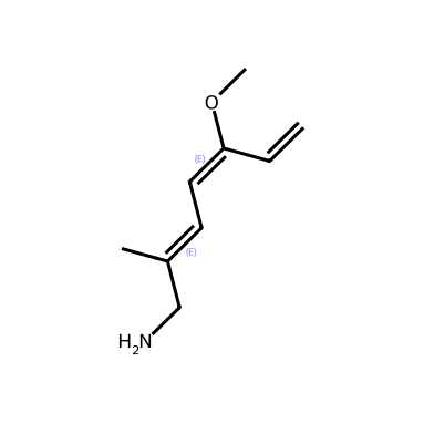 C=C/C(=C\C=C(/C)CN)OC